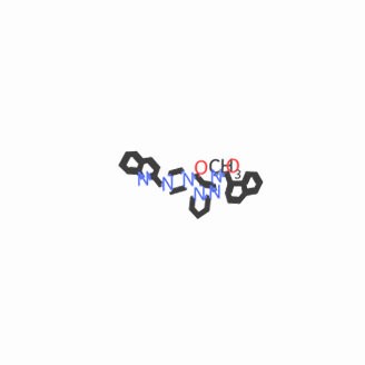 CN(C(=O)c1cccc2ccccc12)c1nc2n(c1C(=O)N1CCN(Cc3ccc4ccccc4n3)CC1)CCCC2